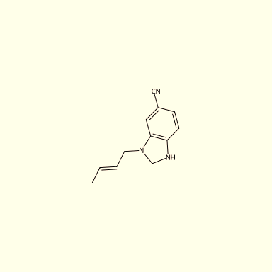 CC=CCN1CNc2ccc(C#N)cc21